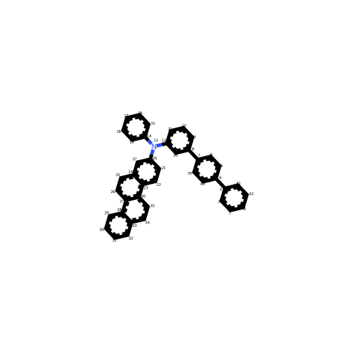 c1ccc(-c2ccc(-c3cccc(N(c4ccccc4)c4ccc5c(ccc6c7ccccc7ccc56)c4)c3)cc2)cc1